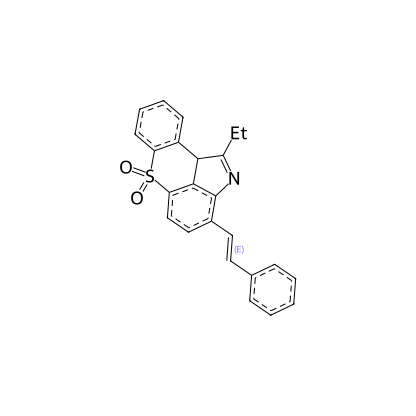 CCC1=Nc2c(/C=C/c3ccccc3)ccc3c2C1c1ccccc1S3(=O)=O